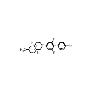 CCc1ccc(-c2c(F)cc([C@@H]3CC[C@@H]4CC(C)CC[C@@H]4C3)cc2F)cc1